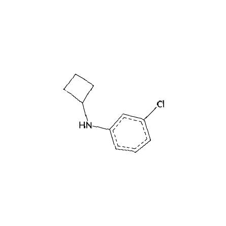 Clc1cccc(NC2CCC2)c1